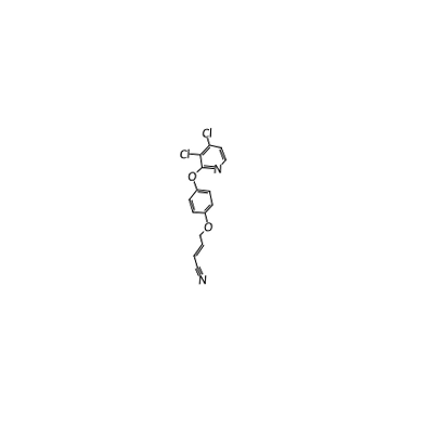 N#C/C=C/COc1ccc(Oc2nccc(Cl)c2Cl)cc1